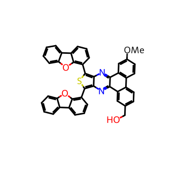 COc1ccc2c3ccc(CO)cc3c3nc4c(-c5cccc6c5oc5ccccc56)sc(-c5cccc6c5oc5ccccc56)c4nc3c2c1